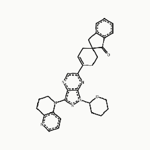 O=C1c2ccccc2CC12CC=C(c1cnc3c(N4CCCc5ncccc54)nn(C4CCCCO4)c3n1)CC2